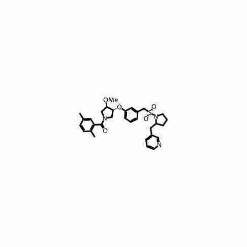 CO[C@@H]1CN(C(=O)c2cc(C)ccc2C)C[C@H]1Oc1cccc(CS(=O)(=O)N2CCCC2Cc2cccnc2)c1